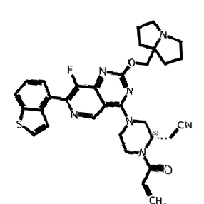 C=CC(=O)N1CCN(c2nc(OCC34CCCN3CCC4)nc3c(F)c(-c4cccc5sccc45)ncc23)C[C@@H]1CC#N